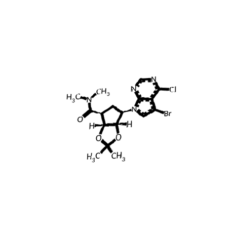 CN(C)C(=O)[C@H]1C[C@@H](n2cc(Br)c3c(Cl)ncnc32)[C@@H]2OC(C)(C)O[C@@H]21